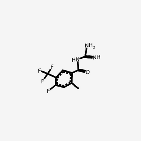 Cc1cc(F)c(C(F)(F)F)cc1C(=O)NC(=N)N